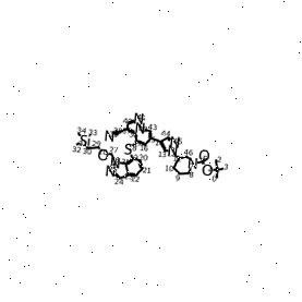 CC(C)(C)OC(=O)N1CCCC(n2cc(-c3cc(Sc4cccc5cnn(COCC[Si](C)(C)C)c45)c4c(C#N)cnn4c3)cn2)C1